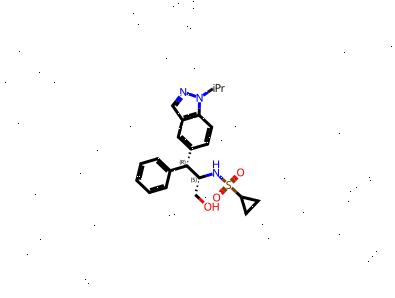 CC(C)n1ncc2cc([C@@H](c3ccccc3)[C@@H](CO)NS(=O)(=O)C3CC3)ccc21